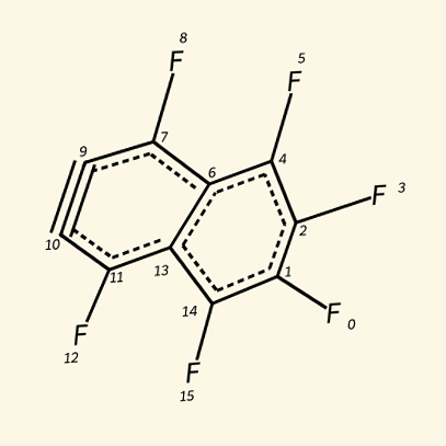 Fc1c(F)c(F)c2c(F)c#cc(F)c2c1F